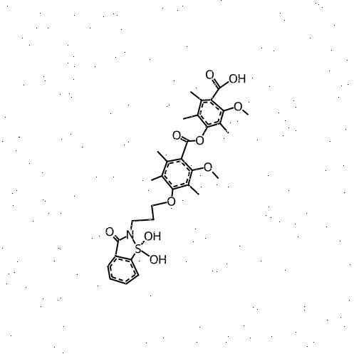 COc1c(C)c(OC(=O)c2c(C)c(C)c(OCCCN3C(=O)c4ccccc4S3(O)O)c(C)c2OC)c(C)c(C)c1C(=O)O